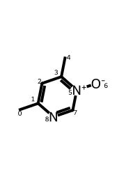 Cc1cc(C)[n+]([O-])cn1